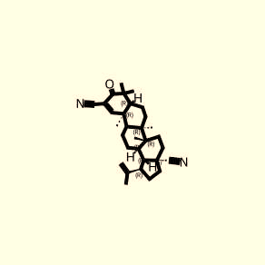 C=C(C)[C@@H]1CC[C@]2(C#N)CC[C@]3(C)[C@H](CCC4[C@@]5(C)C=C(C#N)C(=O)C(C)(C)[C@@H]5CC[C@]43C)[C@@H]12